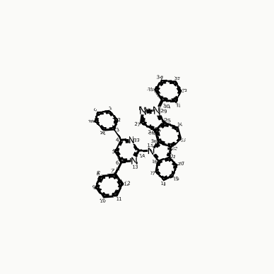 c1ccc(-c2cc(-c3ccccc3)nc(-n3c4ccccc4c4ccc5c(cnn5-c5ccccc5)c43)n2)cc1